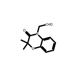 CC1(C)Oc2ccccc2N(CC=O)C1=O